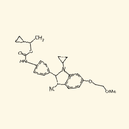 COCCOc1ccc2c(c1)N(C1CC1)C(c1ccc(NC(=O)OC(C)C3CC3)cc1)C2C#N